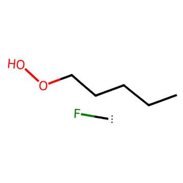 CCCCCOO.[C]F